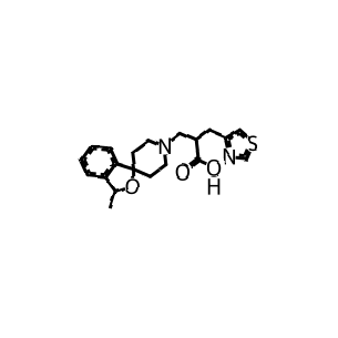 CC1OC2(CCN(CC(Cc3cscn3)C(=O)O)CC2)c2ccccc21